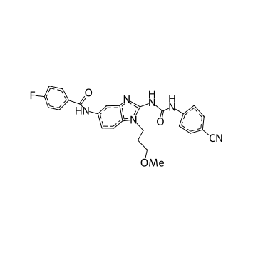 COCCCn1c(NC(=O)Nc2ccc(C#N)cc2)nc2cc(NC(=O)c3ccc(F)cc3)ccc21